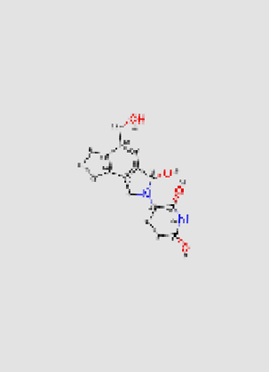 O=C1CCC(N2Cc3c(cc(CO)c4c3CCC4)C2=O)C(=O)N1